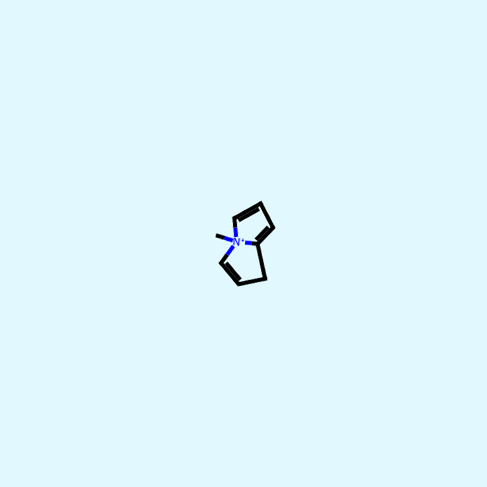 C[N+]12C=CC=C1CC=C2